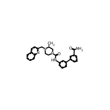 C[C@H]1CN(C(=O)Nc2cccc(-c3cccc(C(N)=O)c3)c2)CCN1Cc1ccc2ccccc2n1